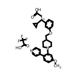 COc1ccc(-c2ccncc2)c(N2CCC(COc3cccc([C@@H](CC(=O)O)C4CC4)c3)CC2)c1.O=C(O)C(F)(F)F